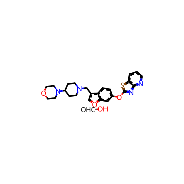 O=CO.c1cnc2nc(Oc3ccc4c(CN5CCC(N6CCOCC6)CC5)coc4c3)sc2c1